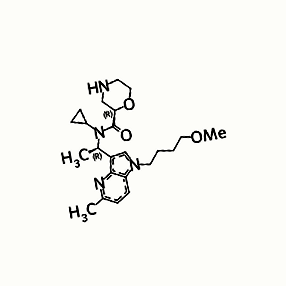 COCCCCn1cc([C@@H](C)N(C(=O)[C@H]2CNCCO2)C2CC2)c2nc(C)ccc21